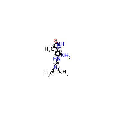 CCCN(CCC)CCCNc1ccc(C2=NNC(=O)CC2C)cc1N